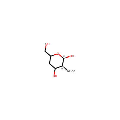 CC(=O)N[C@H]1C(O)CC(CO)O[C@H]1O